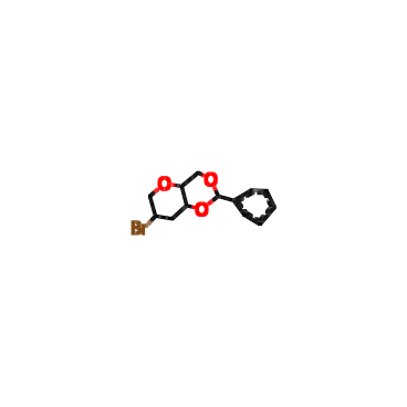 BrC1COC2COC(c3ccccc3)OC2C1